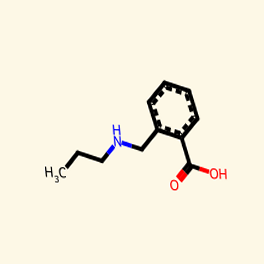 CCCNCc1ccccc1C(=O)O